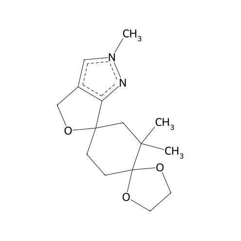 Cn1cc2c(n1)C1(CCC3(OCCO3)C(C)(C)C1)OC2